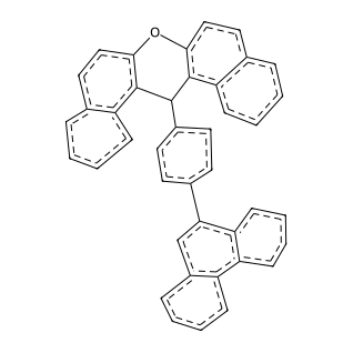 c1ccc2c3c(ccc2c1)Oc1ccc2ccccc2c1C3c1ccc(-c2cc3ccccc3c3ccccc23)cc1